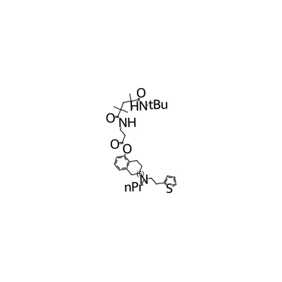 CCCN(CCc1cccs1)[C@H]1CCc2c(cccc2OC(=O)CCNC(=O)C(C)(C)CC(C)(C)C(=O)NC(C)(C)C)C1